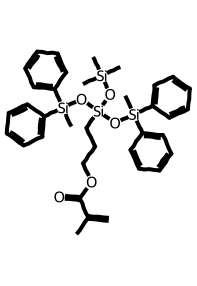 C=C(C)C(=O)OCCC[Si](O[Si](C)(C)C)(O[Si](C)(c1ccccc1)c1ccccc1)O[Si](C)(c1ccccc1)c1ccccc1